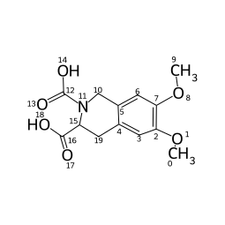 COc1cc2c(cc1OC)CN(C(=O)O)C(C(=O)O)C2